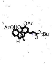 CC(=O)Oc1cc(/C=C/C(=O)OC(C)(C)C)c2c3c1O[C@H]1[C@@H](OC(C)=O)C=CC4[C@@H](C2)N(C)CC[C@@]341